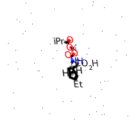 CCC1=C[C@H]2[C@@H](C1)C[C@@]2(CNC(=O)O[C@@H](C)OC(=O)C(C)C)CC(=O)O